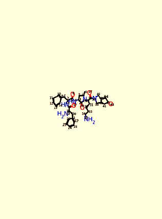 CC1CC(NC(=O)C(Cc2ccccc2)NC(=O)C(N)Cc2ccccc2)C(=O)N1C(CCCCN)C(=O)N1CC2CC(=O)CC2C1